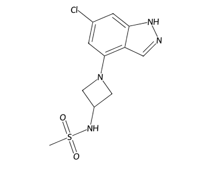 CS(=O)(=O)NC1CN(c2cc(Cl)cc3[nH]ncc23)C1